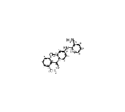 Cc1ccccc1C(=S)c1ccc(Nc2ncccc2N)cc1Cl